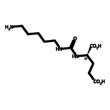 NCCCCCNC(=O)N[C@@H](CCC(=O)O)C(=O)O